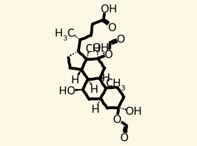 C[C@H](CCC(=O)O)[C@H]1CC[C@H]2[C@@H]3[C@H](O)C[C@@H]4C[C@](O)(OC=O)CC[C@]4(C)[C@H]3C[C@](O)(OC=O)[C@]12C